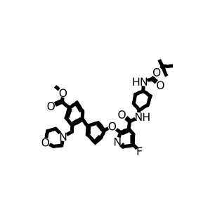 COC(=O)c1ccc(-c2cccc(Oc3ncc(F)cc3C(=O)NC3CCC(NC(=O)OC(C)(C)C)CC3)c2)c(CN2CCOCC2)c1